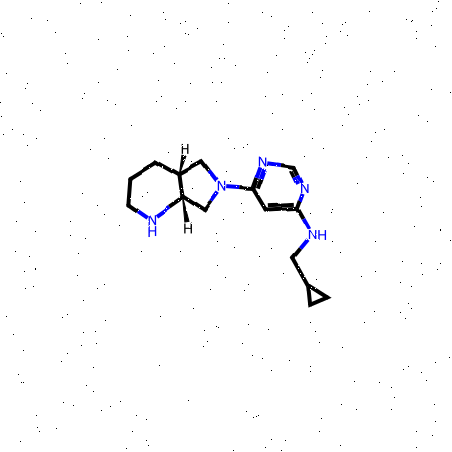 c1nc(NCC2CC2)cc(N2C[C@H]3CCCN[C@H]3C2)n1